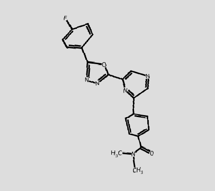 CN(C)C(=O)c1ccc(-c2cncc(-c3nnc(-c4ccc(F)cc4)o3)n2)cc1